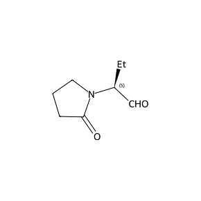 CC[C@@H](C=O)N1CCCC1=O